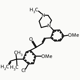 C=CC(C)(C)c1cc(C(=O)C=Cc2ccc(OC)cc2N2CCN(C)CC2)c(OC)cc1Cl